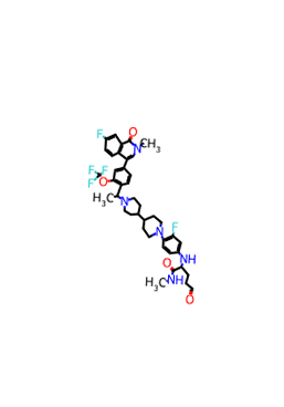 CNC(=O)C(CCC=O)Nc1ccc(N2CCC(C3CCN(C(C)c4ccc(-c5cn(C)c(=O)c6cc(F)ccc56)cc4OC(F)(F)F)CC3)CC2)c(F)c1